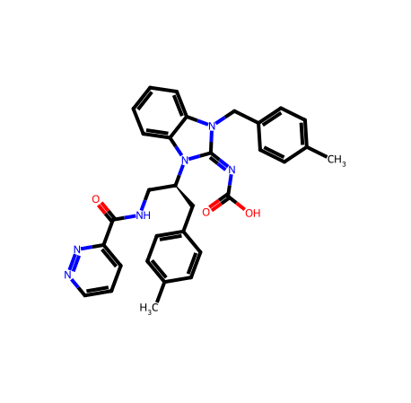 Cc1ccc(C[C@@H](CNC(=O)c2cccnn2)n2c(=NC(=O)O)n(Cc3ccc(C)cc3)c3ccccc32)cc1